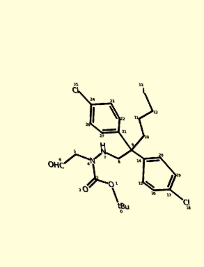 CC(C)(C)OC(=O)N(CC=O)NCC(CCCI)(c1ccc(Cl)cc1)c1ccc(Cl)cc1